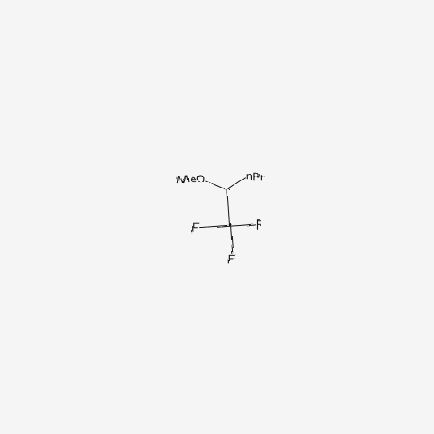 CCC[C](OC)C(F)(F)F